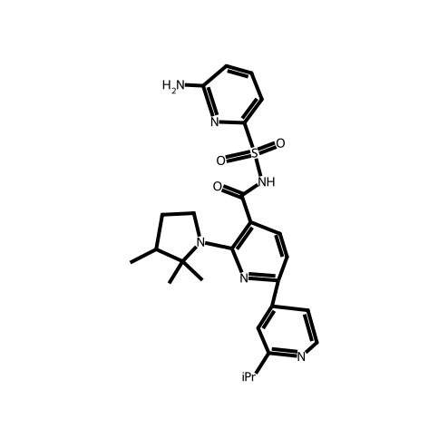 CC(C)c1cc(-c2ccc(C(=O)NS(=O)(=O)c3cccc(N)n3)c(N3CCC(C)C3(C)C)n2)ccn1